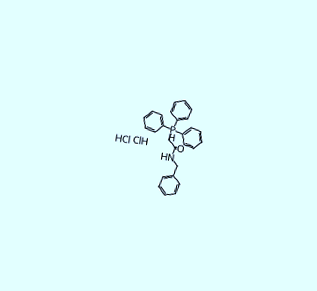 Cl.Cl.O=C(C[PH](c1ccccc1)(c1ccccc1)c1ccccc1)NCc1ccccc1